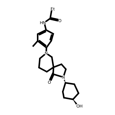 CCC(=O)Nc1ccc(N2CCCC3(CCN([C@H]4CC[C@H](O)CC4)C3=O)C2)c(C)c1